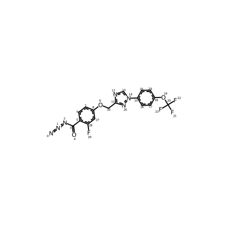 [N-]=[N+]=NC(=O)c1ccc(OCc2ncn(-c3ccc(OC(F)(F)F)cc3)n2)cc1F